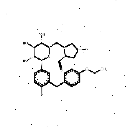 CCOc1ccc(Cc2cc([C@@H]3O[C@H](CN4C[C@@H](F)C[C@H]4C=O)[C@@H](O)[C@H](O)[C@H]3O)ccc2Cl)cc1